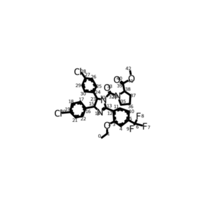 CCOc1cc(C(F)(F)F)ccc1C1=NC(c2ccc(Cl)cc2)C(c2ccc(Cl)cc2)N1C(=O)N1CCCC1C(=O)OC